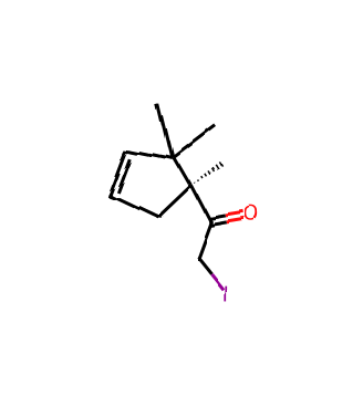 CC1(C)C=CC[C@]1(C)C(=O)CI